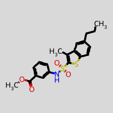 CCCc1ccc2sc(S(=O)(=O)Nc3cccc(C(=O)OC)c3)c(C)c2c1